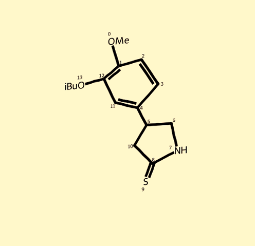 COc1ccc(C2CNC(=S)C2)cc1OCC(C)C